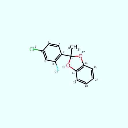 CC1(c2ccc(Cl)cc2F)Oc2[c]cccc2O1